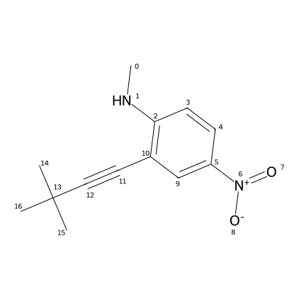 CNc1ccc([N+](=O)[O-])cc1C#CC(C)(C)C